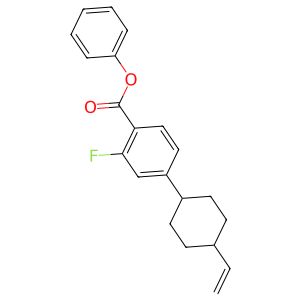 C=CC1CCC(c2ccc(C(=O)Oc3ccccc3)c(F)c2)CC1